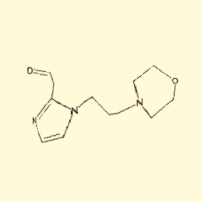 O=Cc1nccn1CCN1CCOCC1